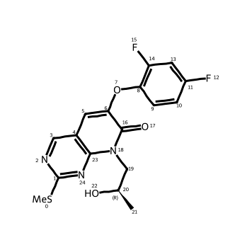 CSc1ncc2cc(Oc3ccc(F)cc3F)c(=O)n(C[C@@H](C)O)c2n1